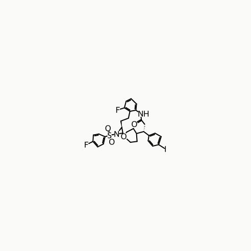 O=C(C[C@H](c1ccc(I)cc1)C1CCOCC1)Nc1cccc(F)c1CC[C@H]1CN1S(=O)(=O)c1ccc(F)cc1